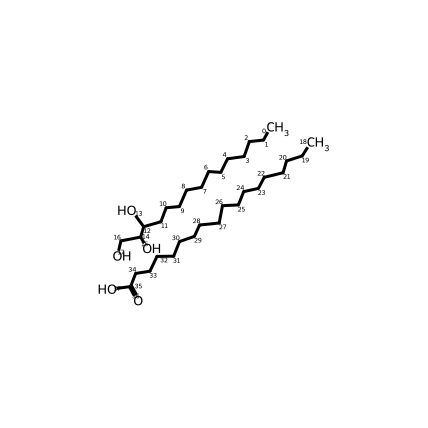 CCCCCCCCCCCCC(O)C(O)CO.CCCCCCCCCCCCCCCCCC(=O)O